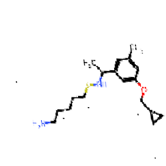 Cc1cc(OCC2CC2)cc([C@H](C)NSCCCCCN)c1